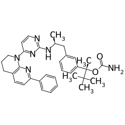 C[C@@H](Cc1cccc([C@](C)(OC(N)=O)C(C)(C)C)c1)Nc1nccc(N2CCCc3ccc(-c4ccccc4)nc32)n1